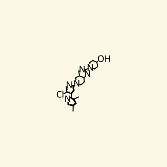 Cc1cnc(-c2cc(N3CCC4N=C(N5CCC(O)CC5)N=CC4C3)ncc2Cl)c(C)c1